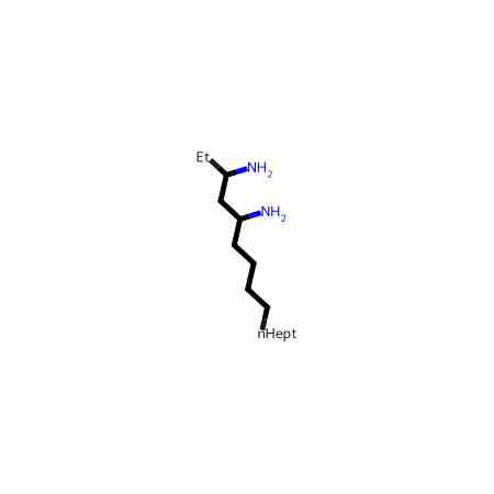 [CH2]CC(N)CC(N)CCCCCCCCCCC